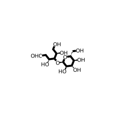 O=CC[C@@H](O)C(O[C@H]1O[C@H](CO)[C@@H](O)[C@H](O)[C@H]1O)[C@H](O)CO